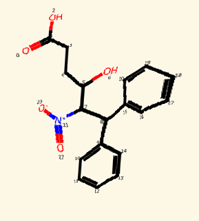 O=C(O)CCC(O)C(C(c1ccccc1)c1ccccc1)[N+](=O)[O-]